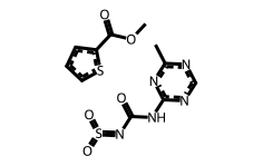 COC(=O)c1cccs1.Cc1ncnc(NC(=O)N=S(=O)=O)n1